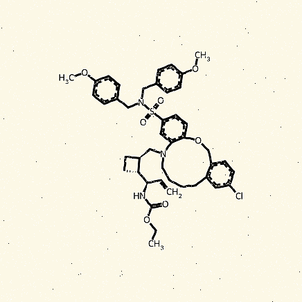 C=C[C@@H](NC(=O)OCC)[C@@H]1CC[C@H]1CN1CCCCc2cc(Cl)ccc2COc2ccc(S(=O)(=O)N(Cc3ccc(OC)cc3)Cc3ccc(OC)cc3)cc21